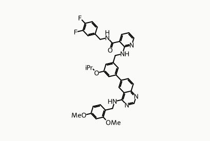 COc1ccc(CNc2ncnc3ccc(-c4cc(CNc5ncccc5C(=O)NCc5ccc(F)c(F)c5)cc(OC(C)C)c4)cc23)c(OC)c1